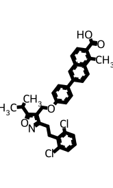 Cc1c(C(=O)O)ccc2cc(-c3ccc(OCc4c(CCc5c(Cl)cccc5Cl)noc4C(C)C)cc3)ccc12